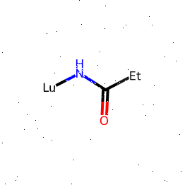 CCC(=O)[NH][Lu]